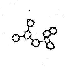 c1ccc(-c2nc(-c3ccccc3)nc(-c3cccc(-n4c5ccccc5c5c6ccccc6ccc54)c3)n2)cc1